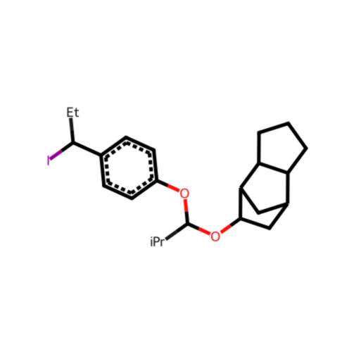 CCC(I)c1ccc(OC(OC2CC3CC2C2CCCC32)C(C)C)cc1